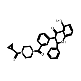 CC(=O)Oc1cccc2c1C(=O)C(c1cccc(C(=O)N3CCN(C(=O)C4CC4)CC3)c1)C(c1ccccc1)N2